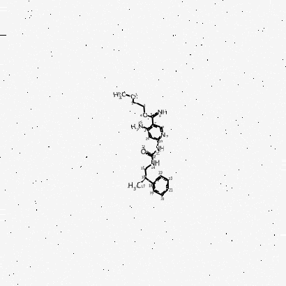 COCCOC(=N)c1cnc(NC(=O)NC[C@H](C)c2ccccc2)cc1N